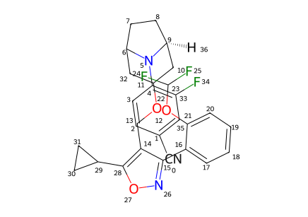 N#Cc1ccc(N2C3CC[C@H]2CC(OCc2c(-c4ccccc4OC(F)F)noc2C2CC2)C3)c(F)c1